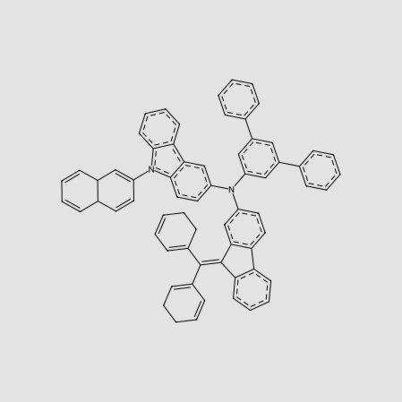 C1=CCCC(/C(C2=CCCC=C2)=C2/c3ccccc3-c3ccc(N(c4cc(-c5ccccc5)cc(-c5ccccc5)c4)c4ccc5c(c4)c4ccccc4n5C4=CC5C=CC=CC5C=C4)cc32)=C1